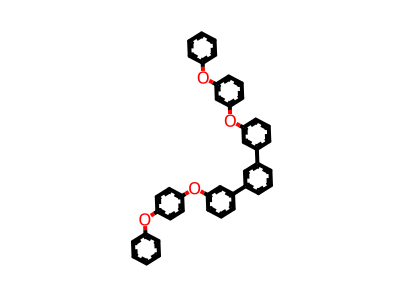 c1ccc(Oc2ccc(Oc3cccc(-c4cccc(-c5cccc(Oc6cccc(Oc7ccccc7)c6)c5)c4)c3)cc2)cc1